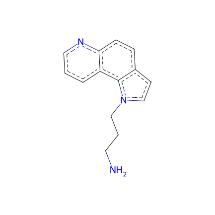 NCCCn1ccc2ccc3ncccc3c21